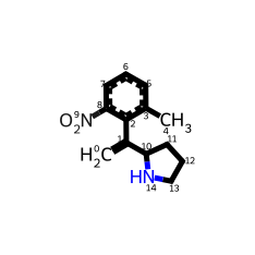 C=C(c1c(C)cccc1[N+](=O)[O-])C1CCCN1